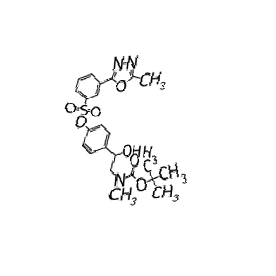 Cc1nnc(-c2cccc(S(=O)(=O)Oc3ccc(C(O)CN(C)C(=O)OC(C)(C)C)cc3)c2)o1